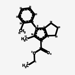 CCOC(=O)c1c2c(n(-c3ccccc3C)c1C)CCC2